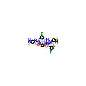 CN(C(=O)[C@H](Cc1cc(F)cc(F)c1)NC(=O)c1cccc(S(=O)(=O)N[C@@H](Cc2cc(F)cc(F)c2)C(=O)N(C)c2ccc3scnc3c2)c1)c1ccc2scnc2c1